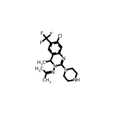 CC(C)=NN1C(N2CCNCC2)=Nc2cc(Cl)c(C(F)(F)F)cc2C1C